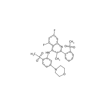 Cc1c(-c2ccccc2S(C)(=O)=O)nc2cc(F)cc(F)c2c1Nc1cc(N2CCOCC2)ccc1S(C)(=O)=O